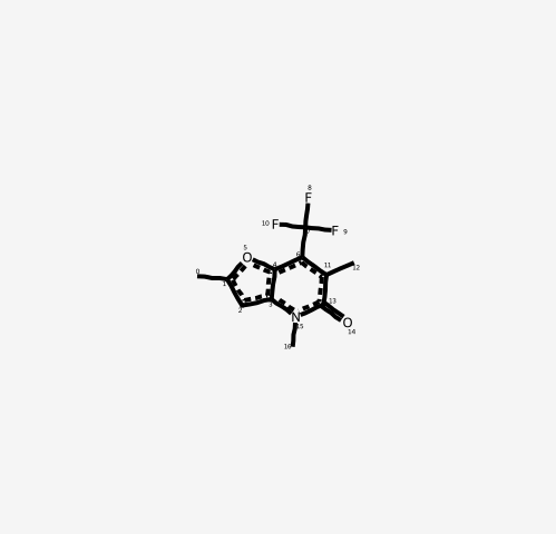 Cc1cc2c(o1)c(C(F)(F)F)c(C)c(=O)n2C